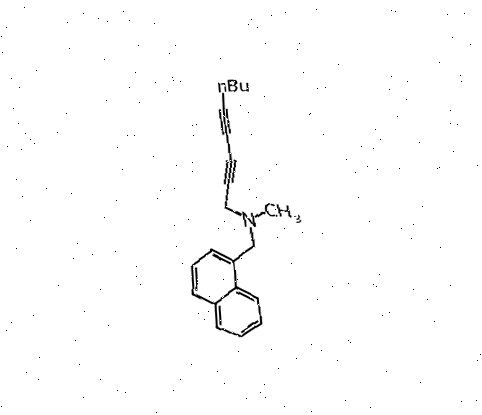 CCCCC#CC#CCN(C)Cc1cccc2ccccc12